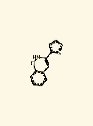 C1=C(c2cccs2)NOc2ccccc21